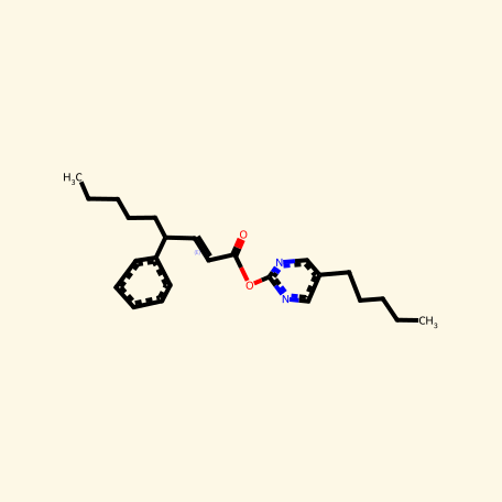 CCCCCc1cnc(OC(=O)/C=C/C(CCCCC)c2ccccc2)nc1